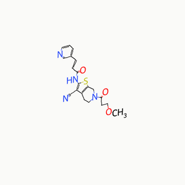 COCCC(=O)N1CCc2c(sc(NC(=O)C=Cc3cccnc3)c2C#N)C1